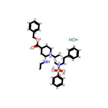 CCN[C@@H]1CC(C(=O)OCc2ccccc2)CCN1CC[C@@H](CN(C)S(=O)(=O)c1ccccc1)c1ccccc1.Cl